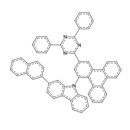 c1ccc(-c2nc(-c3ccccc3)nc(-c3cc(-n4c5ccccc5c5ccc(-c6ccc7ccccc7c6)cc54)c4c5ccccc5c5ccccc5c4c3)n2)cc1